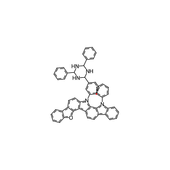 c1ccc(C2NC(c3ccccc3)NC(c3cccc(-n4c5ccc6c7ccccc7oc6c5c5ccc6c7ccccc7n(-c7ccccc7)c6c54)c3)N2)cc1